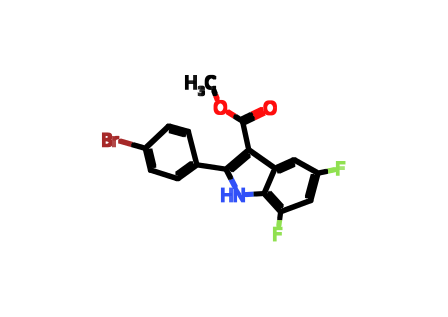 COC(=O)c1c(-c2ccc(Br)cc2)[nH]c2c(F)cc(F)cc12